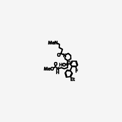 CCc1cccc(-c2c(F)cccc2[C@](O)(CCCNC(=O)OC)[C@@H]2CCCN(C(=O)CCCNC)C2)c1